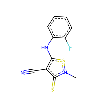 Cn1sc(Nc2ccccc2F)c(C#N)c1=S